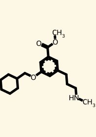 CNCCCc1cc(OCC2CCCCC2)cc(C(=O)OC)c1